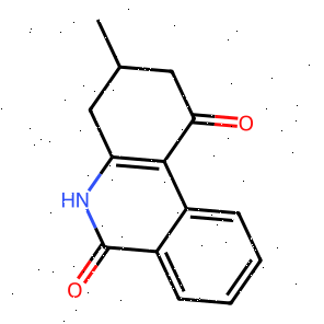 CC1CC(=O)c2c([nH]c(=O)c3ccccc23)C1